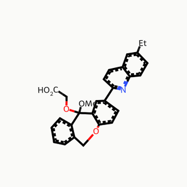 CCc1ccc2nc(-c3ccc4c(c3)C(OC)(OCC(=O)O)c3ccccc3CO4)ccc2c1